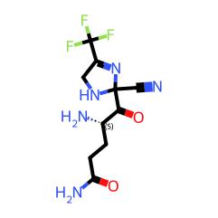 N#CC1(C(=O)[C@@H](N)CCC(N)=O)N=C(C(F)(F)F)CN1